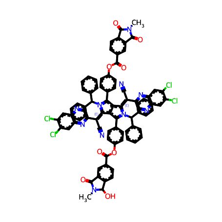 CN1C(=O)c2ccc(C(=O)Oc3ccc(-c4c5/c(=C(\C#N)c6cnc7cc(Cl)c(Cl)cc7n6)n(C(c6ccccc6)c6ccccc6)c(-c6ccc(OC(=O)c7ccc8c(c7)C(=O)N(C)C8O)cc6)c5/c(=C(\C#N)c5cnc6cc(Cl)c(Cl)cc6n5)n4C(c4ccccc4)c4ccccc4)cc3)cc2C1=O